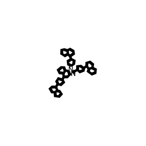 c1ccc2c(-c3ccc(-c4cc5nc(-c6ccc(-c7cccc8ccccc78)cc6)n(-c6ccc(-c7cccc8ccccc78)cc6)c5c5ccccc45)cc3)cccc2c1